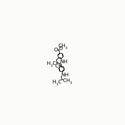 COC(=O)c1ccc2c(c1)CC(C)(C)C(c1ccc(NCC(C)C)cc1)N2